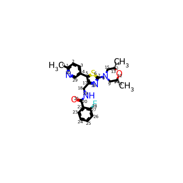 Cc1ccc(-c2sc(N3C[C@@H](C)O[C@@H](C)C3)nc2CNC(=O)c2ccccc2F)cn1